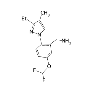 CCc1nn(-c2ccc(OC(F)F)cc2CN)cc1C